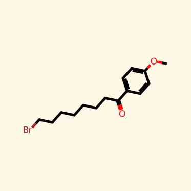 COc1ccc(C(=O)CCCCCCCBr)cc1